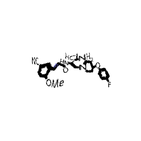 COc1ccc(C#N)cc1/C=C/C(=O)N[C@H](CN)CN1CCC(Oc2ccc(F)cc2)CC1.Cl